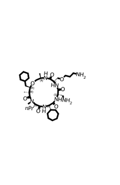 CCC[C@H]1C(=O)N[C@@H](C2CCCCCC2)C(=O)N[C@@H](CN)C(=O)N[C@@H](COCCCN)C(=O)N[C@H](C)CO[C@H](CC2CCCCC2)[C@@H](C)C(=O)N1C